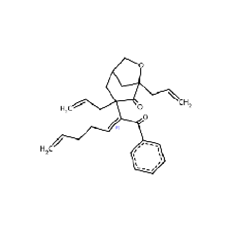 C=CCC/C=C(/C(=O)c1ccccc1)C1(CC=C)CC2COC(CC=C)(C2)C1=O